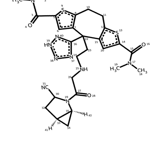 CN(C)C(=O)c1cc2c(s1)CCc1sc(C(=O)N(C)C)cc1C2(CCNCC(=O)N1C(C#N)C[C@@H]2C[C@@H]21)c1nn[nH]n1